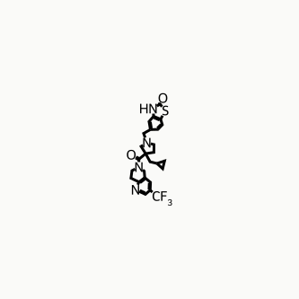 O=C(N1CCc2ncc(C(F)(F)F)cc2C1)C1(CC2CC2)CCN(Cc2ccc3sc(=O)[nH]c3c2)C1